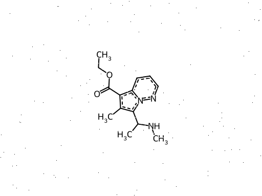 CCOC(=O)c1c(C)c(C(C)NC)n2ncccc12